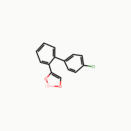 Clc1ccc(-c2ccccc2C2=COBO2)cc1